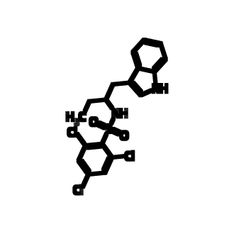 CCC(Cc1c[nH]c2ccccc12)NS(=O)(=O)c1c(Cl)cc(Cl)cc1Cl